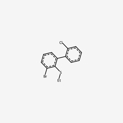 CCSc1c(Br)cccc1-c1ccccc1Cl